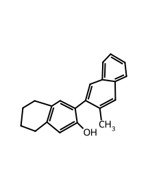 Cc1cc2ccccc2cc1-c1cc2c(cc1O)CCCC2